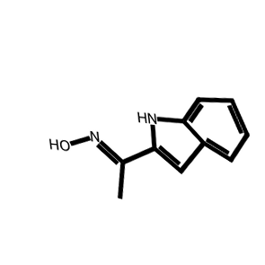 C/C(=N\O)c1cc2ccccc2[nH]1